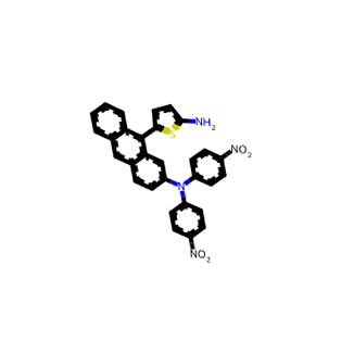 Nc1ccc(-c2c3ccccc3cc3ccc(N(c4ccc([N+](=O)[O-])cc4)c4ccc([N+](=O)[O-])cc4)cc23)s1